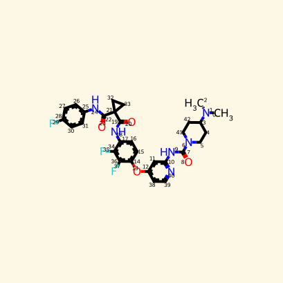 CN(C)C1CCN(C(=O)Nc2cc(Oc3ccc(NC(=O)C4(C(=O)Nc5ccc(F)cc5)CC4)c(F)c3F)ccn2)CC1